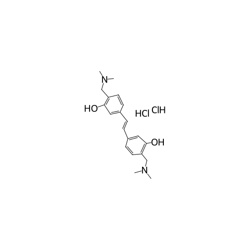 CN(C)Cc1ccc(C=Cc2ccc(CN(C)C)c(O)c2)cc1O.Cl.Cl